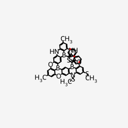 CSc1cc2c3c(c1)N(SC)c1cc4c(cc1B3c1sc3ccccc3c1O2)B1c2cc3c(cc2Oc2cc(C)cc(c21)O4)Nc1cc(C)cc2c1B3c1sc3ccccc3c1N2